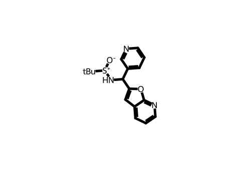 CC(C)(C)[S+]([O-])NC(c1cccnc1)c1cc2cccnc2o1